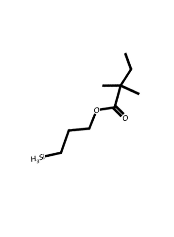 CCC(C)(C)C(=O)OCCC[SiH3]